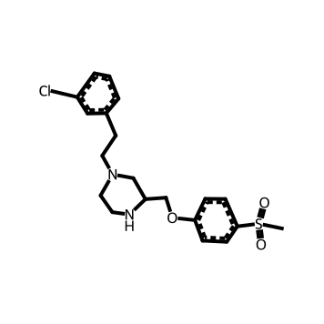 CS(=O)(=O)c1ccc(OCC2CN(CCc3cccc(Cl)c3)CCN2)cc1